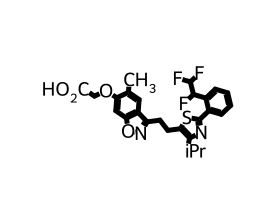 Cc1cc2c(CCc3sc(-c4ccccc4C(F)C(F)F)nc3C(C)C)noc2cc1OCC(=O)O